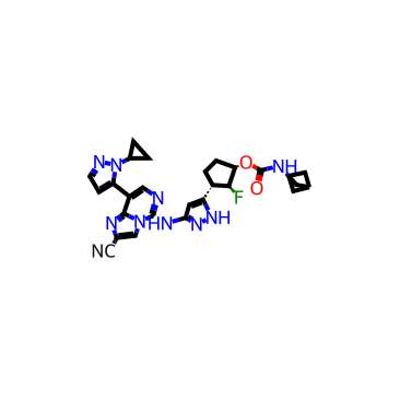 N#Cc1cn2c(Nc3cc([C@@H]4CC[C@H](OC(=O)NC56CC(C5)C6)[C@H]4F)[nH]n3)ncc(-c3ccnn3C3CC3)c2n1